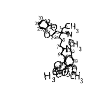 CCC(C#N)(CCCC1Cc2c(cc(OC)c(OC)c2OC)CN1C)C1COc2ccccc2O1